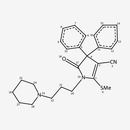 CSC1=C(C#N)C(c2ccccc2)(c2ccccc2)C(=O)N1CCCN1CCCCC1